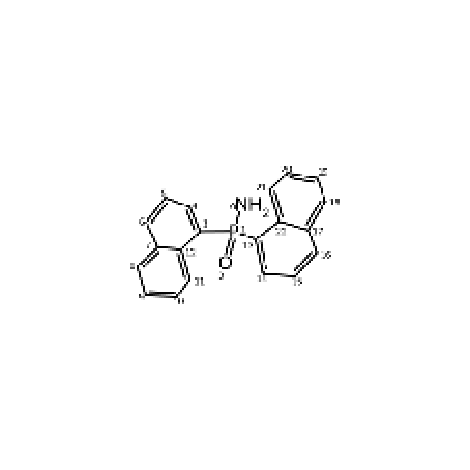 NP(=O)(c1cccc2ccccc12)c1cccc2ccccc12